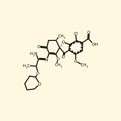 COC1=C(/N=C(\N)C(C)OC2CCCCO2)C(=O)C[C@@H](C)[C@]12Oc1c(Cl)c(C(=O)O)cc(OC)c1C2=O